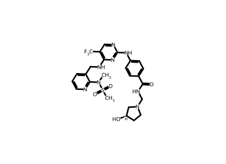 CN(c1ncccc1CNc1nc(Nc2ccc(C(=O)NCN3CC[C@@H](O)C3)cc2)ncc1C(F)(F)F)S(C)(=O)=O